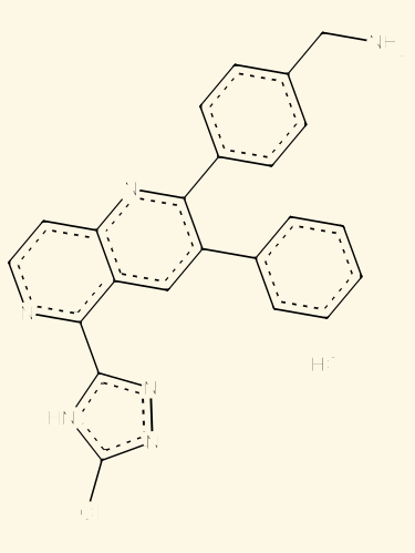 Cl.NCc1ccc(-c2nc3ccnc(-c4nnc(O)[nH]4)c3cc2-c2ccccc2)cc1